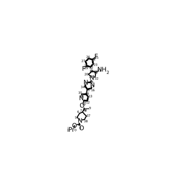 CC(C)OC(=O)N1CCC([C@H](C)Oc2ccc(-c3cnc(N4C[C@H](c5cc(F)ccc5F)[C@@H](N)C4)nc3)cn2)CC1